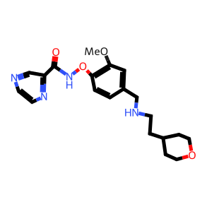 COc1cc(CNCCC2CCOCC2)ccc1ONC(=O)c1cnccn1